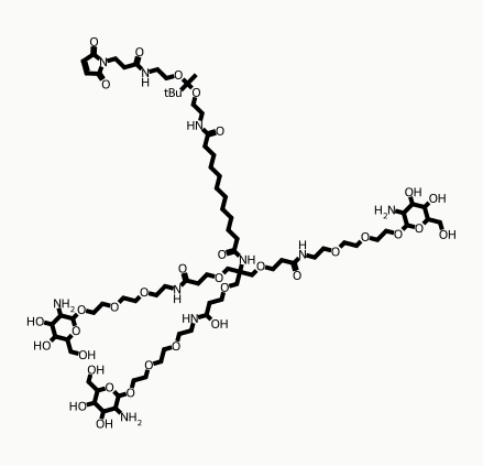 CC(C)(C)C(C)(OCCNC(=O)CCCCCCCCCCC(=O)NC(COCCC(=O)NCCOCCOCCOC1OC(CO)C(O)C(O)C1N)(COCCC(=O)NCCOCCOCCOC1OC(CO)C(O)C(O)C1N)COCCC(O)NCCOCCOCCOC1OC(CO)C(O)C(O)C1N)OCCNC(=O)CCN1C(=O)C=CC1=O